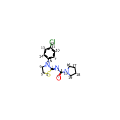 O=C(N=C1SCCN1c1ccc(Cl)cc1)N1CCCC1